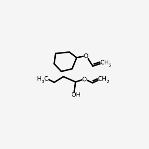 C=COC(O)CCC.C=COC1CCCCC1